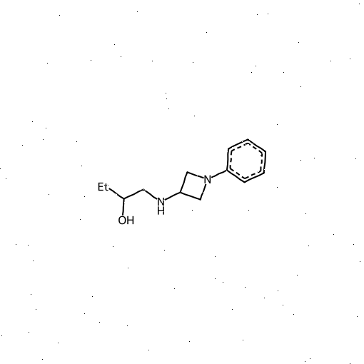 CCC(O)CNC1CN(c2ccccc2)C1